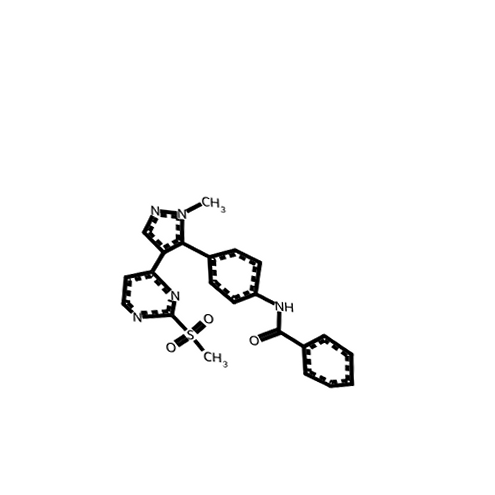 Cn1ncc(-c2ccnc(S(C)(=O)=O)n2)c1-c1ccc(NC(=O)c2ccccc2)cc1